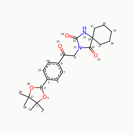 CC1(C)OB(c2ccc(C(=O)CN3C(=O)NC4(CCCCC4)C3=O)cc2)OC1(C)C